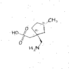 C[C@H]1CC[C@@](CN)(CS(=O)(=O)O)C1